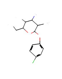 COC1C(Oc2ccc(Cl)cc2)OC(COC(C)=O)C(OC(C)=O)C1N